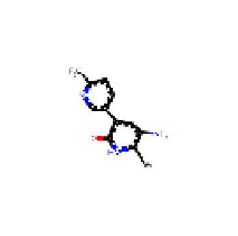 CC(C)c1[nH]c(=O)c(-c2ccc(C(F)(F)F)nc2)cc1N